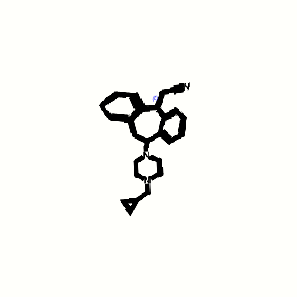 N#C/C=C1/c2ccccc2CC(N2CCN(CC3CC3)CC2)c2ccccc21